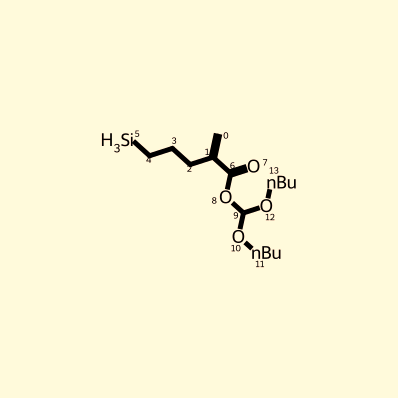 C=C(CCC[SiH3])C(=O)OC(OCCCC)OCCCC